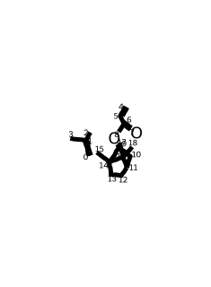 C=C(C)C.C=CC(=O)OC1CC2CCC1(C)C2(C)C